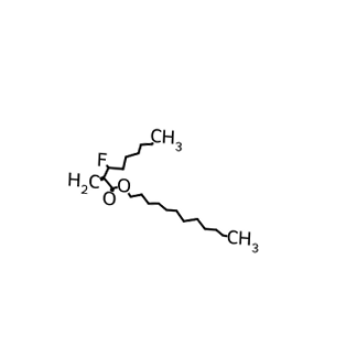 C=C(C(=O)OCCCCCCCCCCCC)C(F)CCCCCC